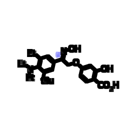 CCc1cc(/C(COc2ccc(C(=O)O)c(O)c2)=N/O)cc(C(C)(C)C)c1N(CC)CC